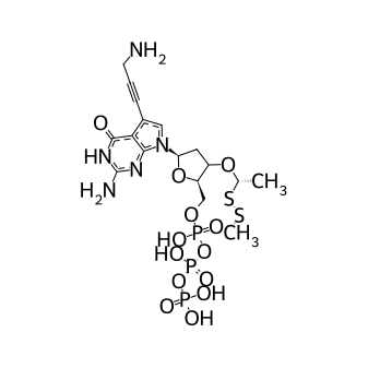 CSS[C@@H](C)OC1C[C@H](n2cc(C#CCN)c3c(=O)[nH]c(N)nc32)O[C@@H]1COP(=O)(O)OP(=O)(O)OP(=O)(O)O